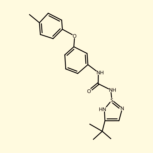 Cc1ccc(Oc2cccc(NC(=O)NS3=NC=C(C(C)(C)C)N3)c2)cc1